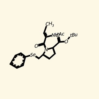 CC=C(NC(C)=O)C(=O)N1C(C[Se]c2ccccc2)CCC1C(=O)OC(C)(C)C